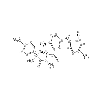 COc1ccc(S(C)(N=O)C(=O)C(C)OC(=O)c2cc(Oc3ccc(C(F)(F)F)cc3Cl)ccc2[N+](=O)[O-])cc1